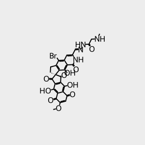 CNCC(=O)N/N=C/c1cc2c(Br)c3c(c(O)c2c(=O)[nH]1)[C@@]1(CC3)C(=O)c2c(O)c3c(c(O)c2C1=O)C(=O)C(OC)=CC3=O